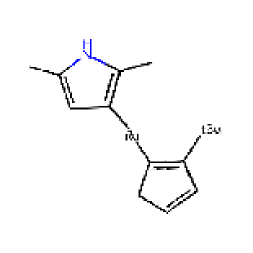 Cc1c[c]([Ru][C]2=C(C(C)(C)C)C=CC2)c(C)[nH]1